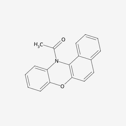 CC(=O)N1c2ccccc2Oc2ccc3ccccc3c21